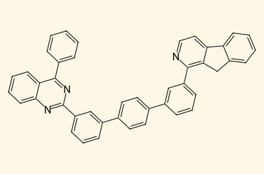 c1ccc(-c2nc(-c3cccc(-c4ccc(-c5cccc(-c6nccc7c6Cc6ccccc6-7)c5)cc4)c3)nc3ccccc23)cc1